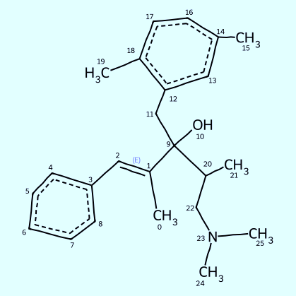 C/C(=C\c1ccccc1)C(O)(Cc1cc(C)ccc1C)C(C)CN(C)C